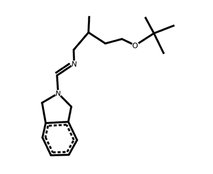 CC(CCOC(C)(C)C)CN=CN1Cc2ccccc2C1